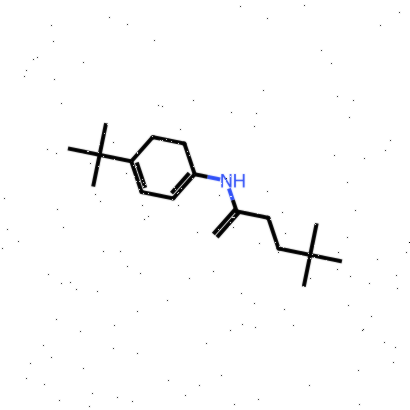 C=C(CCC(C)(C)C)NC1=CC=C(C(C)(C)C)CC1